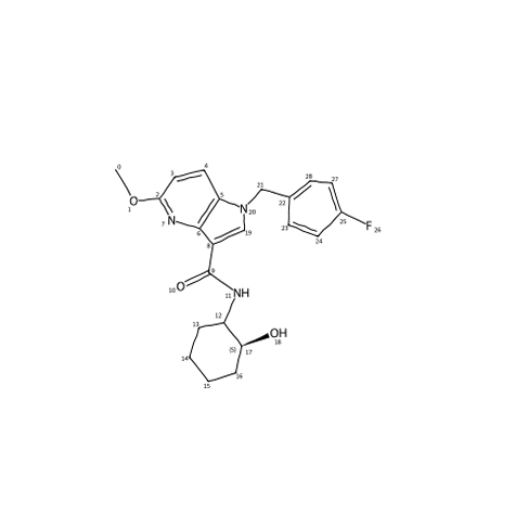 COc1ccc2c(n1)c(C(=O)NC1CCCC[C@@H]1O)cn2Cc1ccc(F)cc1